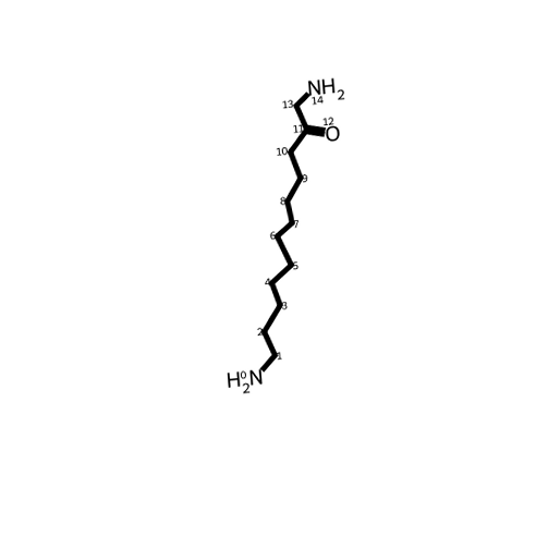 NCCCCCCCCCCC(=O)CN